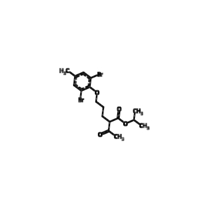 CC(=O)C(CCCOc1c(Br)cc(C)cc1Br)C(=O)OC(C)C